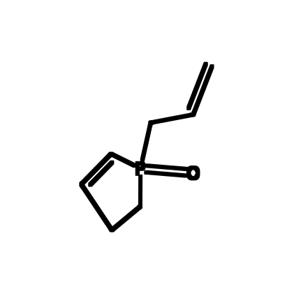 C=CCP1(=O)C=CCC1